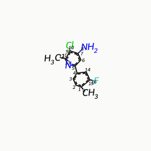 Cc1ccc(-c2cc(N)c(Cl)c(C)n2)cc1F